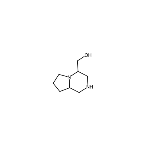 OCC1CNCC2CCCN12